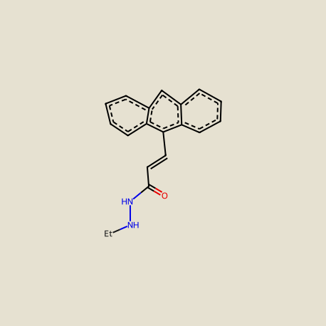 CCNNC(=O)C=Cc1c2ccccc2cc2ccccc12